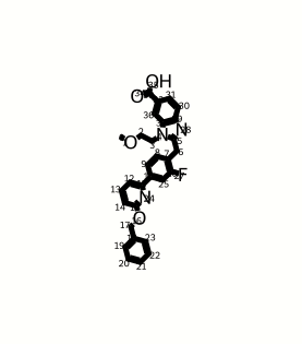 COCCn1c(Cc2ccc(-c3cccc(OCc4ccccc4)n3)cc2F)nc2ccc(C(=O)O)cc21